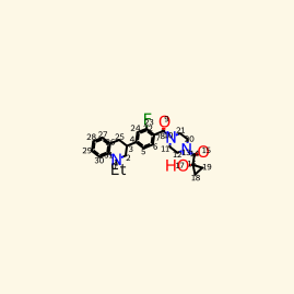 CCN1CC(c2ccc(C(=O)N3CCN(C(=O)C4(O)CC4)CC3)c(F)c2)Cc2ccccc21